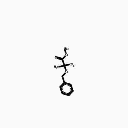 BC(OCc1ccccc1)(C(=O)OC(C)(C)C)C(F)(F)F